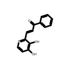 O=C(C=Cc1nccc(O)c1O)c1ccccc1